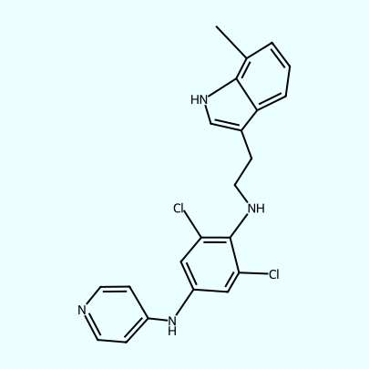 Cc1cccc2c(CCNc3c(Cl)cc(Nc4ccncc4)cc3Cl)c[nH]c12